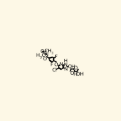 CS(C)(=O)=NC(=O)c1cc(F)c(COc2nc3[nH]c(O[C@@H]4CO[C@H]5[C@@H]4OC[C@H]5O)nc3cc2Cl)c(F)c1